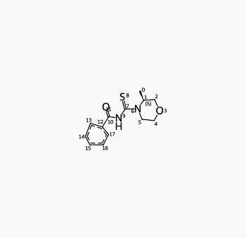 C[C@H]1COCCN1C(=S)NC(=O)c1ccccc1